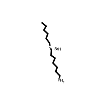 Br.CCCCCCCCCCCCCCP